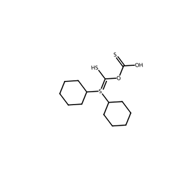 OC(=S)OC(S)=S(C1CCCCC1)C1CCCCC1